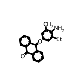 CCc1cccc(C)c1N.O=C1c2ccccc2C(=O)c2ccccc21